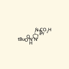 CC(C)[C@@H](C(=O)O)N(C)Cc1ccnc(NC(=O)OC(C)(C)C)c1